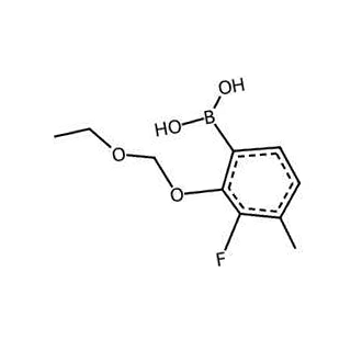 CCOCOc1c(B(O)O)ccc(C)c1F